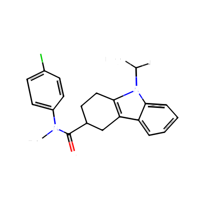 CCC(C(=O)O)n1c2c(c3ccccc31)CC(C(=O)N(C)c1ccc(Cl)cc1)CC2